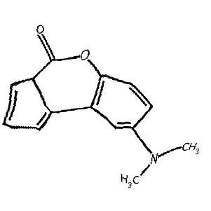 CN(C)c1ccc2c(c1)C1=CC=CC1C(=O)O2